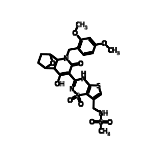 COc1ccc(CN2C(=O)C(C3=NS(=O)(=O)c4c(CNS(C)(=O)=O)csc4N3)=C(O)C3C4CCC(O4)C32)c(OC)c1